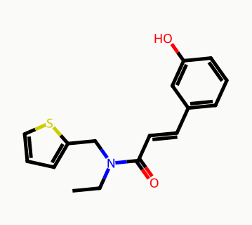 CCN(Cc1cccs1)C(=O)/C=C/c1cccc(O)c1